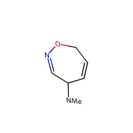 CNC1C=CCON=C1